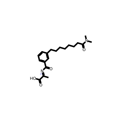 C/C(=N\C(=O)c1cccc(CCCCCCCC(=O)N(C)C)c1)C(=O)O